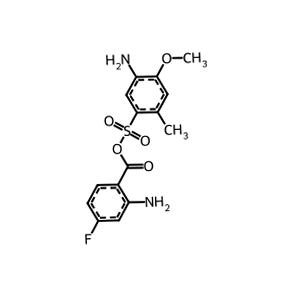 COc1cc(C)c(S(=O)(=O)OC(=O)c2ccc(F)cc2N)cc1N